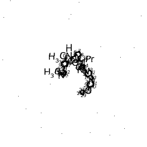 CC(NC(=O)C1CCCN1C(=O)C(c1cc(N2CCC(CN3CCC(OC4CCC4)CC3)CC2)no1)C(C)C)c1ccc(-c2ccnn2C)cc1